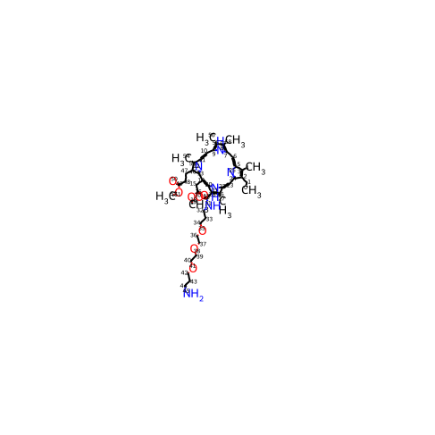 CCC1=C(C)c2cc3[nH]c(cc4nc(c(CC(=O)OC)c5[nH]c(cc1n2)c(C)c5C(=O)NCCCOCCOCCOCCCN)C(CCC(=O)OC)C4C)c(C)c3C